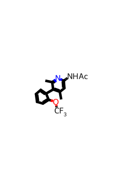 CC(=O)Nc1cc(C)c(-c2ccccc2OC(F)(F)F)c(C)n1